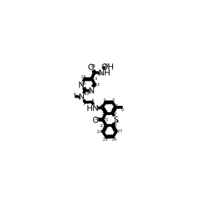 Cc1ccc(NCCN(C)c2ncc(C(=O)NO)cn2)c2c(=O)c3ccccc3sc12